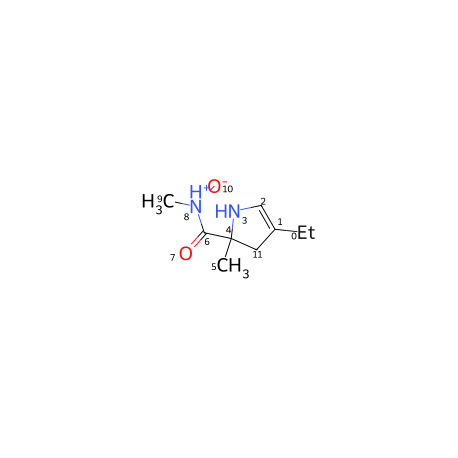 CCC1=CNC(C)(C(=O)[NH+](C)[O-])C1